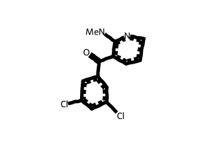 CNc1ncccc1C(=O)c1cc(Cl)cc(Cl)c1